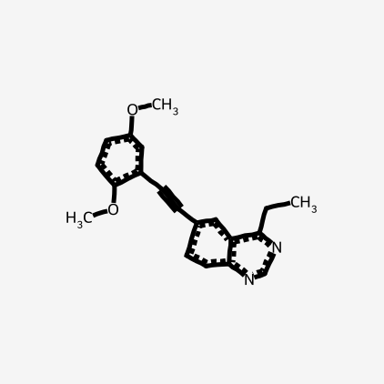 CCc1ncnc2ccc(C#Cc3cc(OC)ccc3OC)cc12